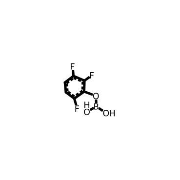 OB(O)Oc1c(F)ccc(F)c1F